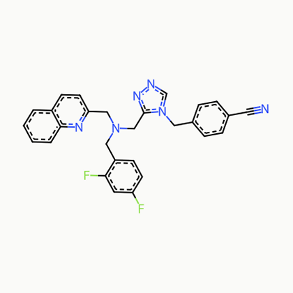 N#Cc1ccc(Cn2cnnc2CN(Cc2ccc3ccccc3n2)Cc2ccc(F)cc2F)cc1